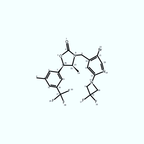 Cc1cc([C@H]2OC(=O)N(Cc3cc(N4CC(F)(F)C4)ncc3Br)[C@H]2C)cc(C(F)(F)F)c1